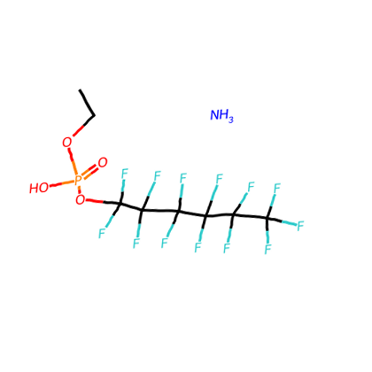 CCOP(=O)(O)OC(F)(F)C(F)(F)C(F)(F)C(F)(F)C(F)(F)C(F)(F)F.N